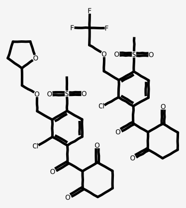 CS(=O)(=O)c1ccc(C(=O)C2C(=O)CCCC2=O)c(Cl)c1COCC(F)(F)F.CS(=O)(=O)c1ccc(C(=O)C2C(=O)CCCC2=O)c(Cl)c1COCC1CCCO1